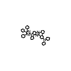 c1ccc(-c2nc(-n3c4ccccc4c4c5nc6c7ccc(N(c8ccccc8)c8ccccc8)cc7c7ccccc7c6nc5ccc43)nc(-c3ccccc3)c2-c2ccccc2)cc1